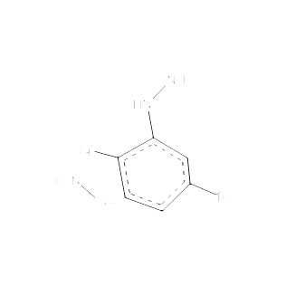 NNc1cc(Br)ccc1Br.O=[N+]([O-])O